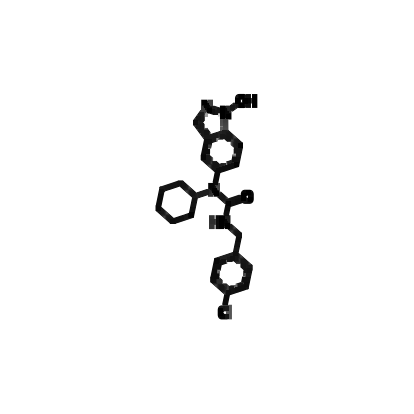 O=C(NCc1ccc(Cl)cc1)N(c1ccc2c(cnn2O)c1)C1CCCCC1